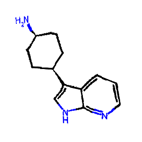 N[C@H]1CC[C@@H](c2c[nH]c3ncccc32)CC1